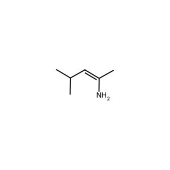 CC(N)=CC(C)C